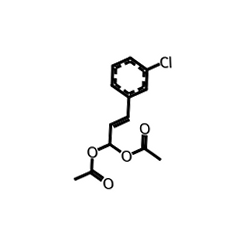 CC(=O)OC(/C=C/c1cccc(Cl)c1)OC(C)=O